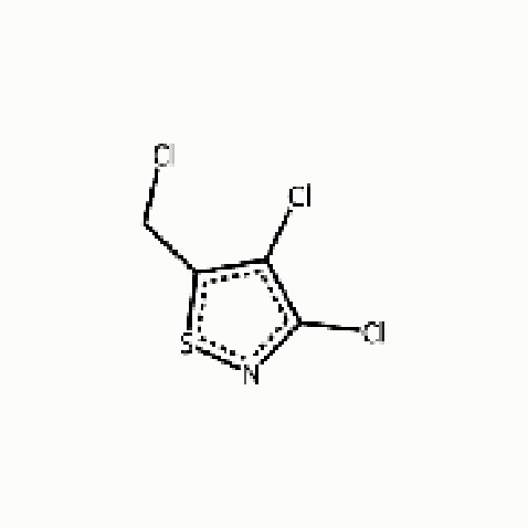 ClCc1snc(Cl)c1Cl